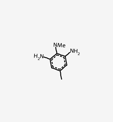 CNc1c(N)cc(C)cc1N